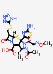 CON=CC(=O)NC1(c2csc(N)n2)S[C@H]2C(CSc3nnn[nH]3)C(=O)N2C(C(=O)O)=C1C(C)NC(C)=O